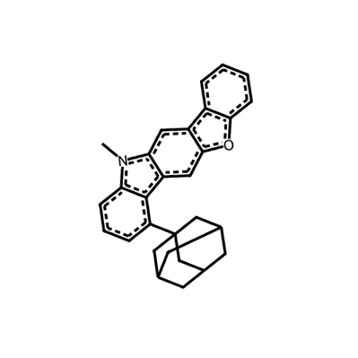 Cn1c2cc3c(cc2c2c(C45CC6CC(CC(C6)C4)C5)cccc21)oc1ccccc13